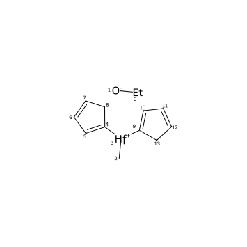 CC[O-].[CH3][Hf+]([C]1=CC=CC1)[C]1=CC=CC1